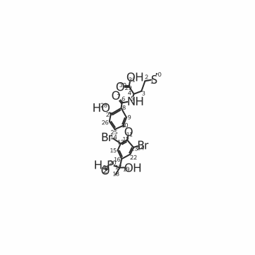 CSCCC(NC(=O)c1cc(Oc2c(Br)cc(C(C)(O)[PH2]=O)cc2Br)ccc1O)C(=O)O